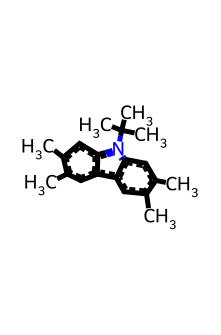 Cc1cc2c3cc(C)c(C)cc3n(C(C)(C)C)c2cc1C